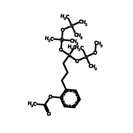 CO[Si](C)(C)O[Si](C)(CCCc1ccccc1OC(C)=O)O[Si](C)(C)O[Si](C)(C)C